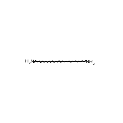 NCCCCCCCCCCCCCCCCCCCCCCCCCCCCCCCCN